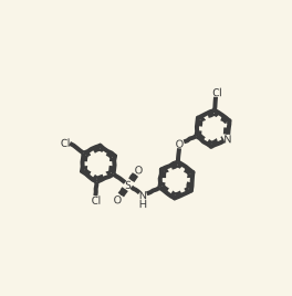 O=S(=O)(Nc1cccc(Oc2cncc(Cl)c2)c1)c1ccc(Cl)cc1Cl